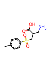 Cc1ccc(S(=O)(=O)CC(CN)C(=O)O)cc1